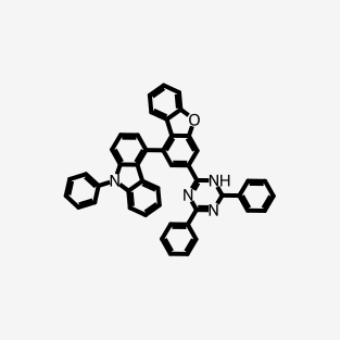 c1ccc(C2=NC(c3ccccc3)NC(c3cc(-c4cccc5c4c4ccccc4n5-c4ccccc4)c4c(c3)oc3ccccc34)=N2)cc1